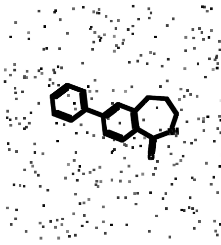 O=C1NCCCc2cc(-c3ccccc3)ccc21